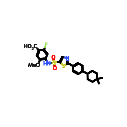 COc1cc(C(=O)O)c(F)cc1NS(=O)(=O)c1cnc(-c2ccc(C3CCC(C)(C)CC3)cc2)s1